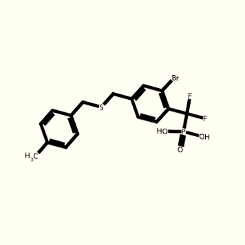 Cc1ccc(CSCc2ccc(C(F)(F)P(=O)(O)O)c(Br)c2)cc1